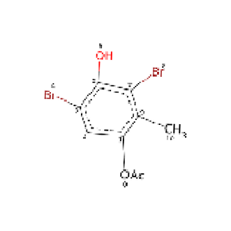 CC(=O)Oc1cc(Br)c(O)c(Br)c1C